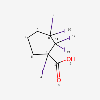 O=C(O)C1(I)CCCC(I)(I)C1(I)I